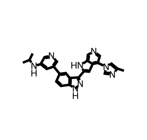 Cc1cn(-c2cncc3[nH]c(-c4n[nH]c5ccc(-c6cncc(NC(C)C)c6)cc45)cc23)cn1